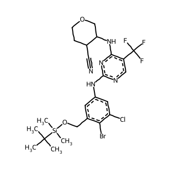 CC(C)(C)[Si](C)(C)OCc1cc(Nc2ncc(C(F)(F)F)c(NC3COCCC3C#N)n2)cc(Cl)c1Br